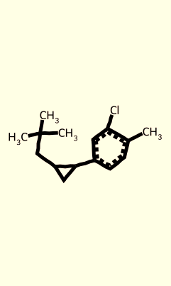 Cc1ccc(C2CC2CC(C)(C)C)cc1Cl